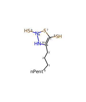 CCCCCCCCC1=C(S)SN(S)N1